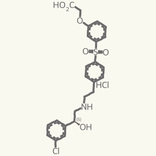 Cl.O=C(O)COc1cccc(S(=O)(=O)c2ccc(CCNC[C@@H](O)c3cccc(Cl)c3)cc2)c1